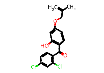 C=C(C)COc1ccc(C(=O)c2ccc(Cl)cc2Cl)c(O)c1